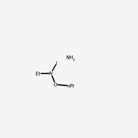 CCCON(I)CC.N